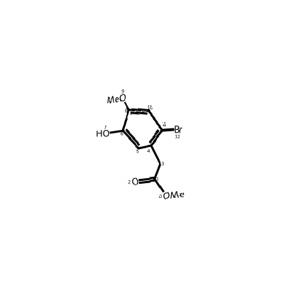 COC(=O)Cc1cc(O)c(OC)cc1Br